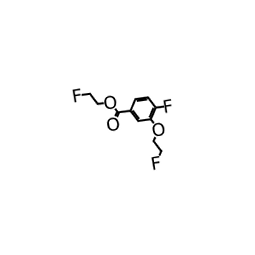 O=C(OCCF)c1ccc(F)c(OCCF)c1